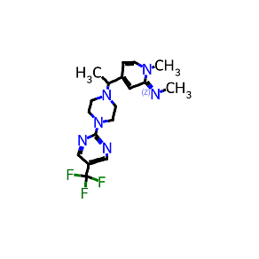 C/N=c1/cc(C(C)N2CCN(c3ncc(C(F)(F)F)cn3)CC2)ccn1C